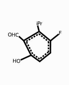 CC(C)c1c(F)ccc(O)c1C=O